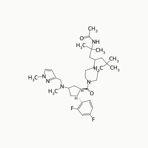 CC(=O)NC(C)(C)CC(CC(C)(C)C)C1CCN(C(=O)[C@@H]2CC(N(C)Cc3ccn(C)n3)C[C@H]2c2ccc(F)cc2F)CC1